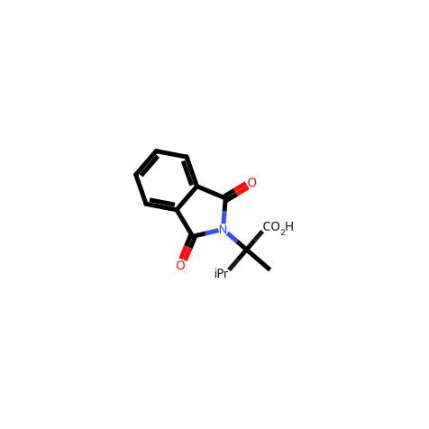 CC(C)C(C)(C(=O)O)N1C(=O)c2ccccc2C1=O